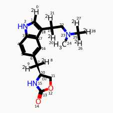 [2H]c1[nH]c2ccc(C([2H])([2H])[C@H]3COC(=O)N3)cc2c1C([2H])([2H])CN(C)C([2H])([2H])[2H]